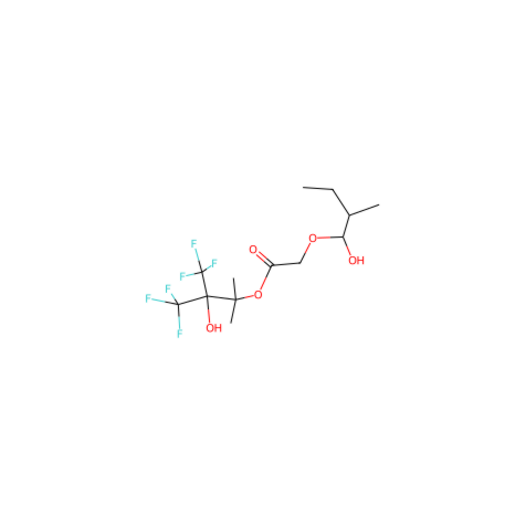 CCC(C)C(O)OCC(=O)OC(C)(C)C(O)(C(F)(F)F)C(F)(F)F